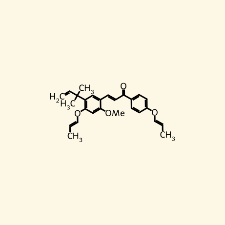 C=CC(C)(C)c1cc(C=CC(=O)c2ccc(OC=CC)cc2)c(OC)cc1OC=CC